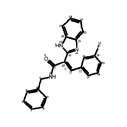 O=C(NCc1ccccc1)/C(=C/c1cccc(F)c1)c1nc2ccccc2[nH]1